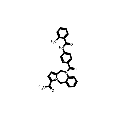 O=C(Nc1ccc(C(=O)N2Cc3ccc(C(=O)C(Cl)(Cl)Cl)n3Cc3ccccc32)cc1)c1ccccc1C(F)(F)F